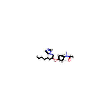 CCCCCCC(Cn1ccnc1)Oc1ccc(NC(C)=O)cc1